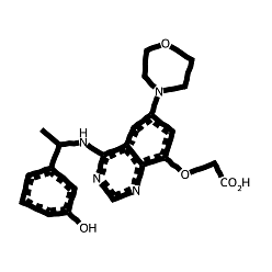 CC(Nc1ncnc2c(OCC(=O)O)cc(N3CCOCC3)cc12)c1cccc(O)c1